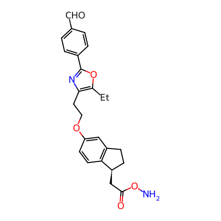 CCc1oc(-c2ccc(C=O)cc2)nc1CCOc1ccc2c(c1)CC[C@H]2CC(=O)ON